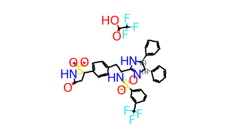 O=C(O)C(F)(F)F.O=C1CC(c2ccc(CC(NS(=O)(=O)c3cccc(C(F)(F)F)c3)C3=N[C@@H](c4ccccc4)[C@H](c4ccccc4)N3)cc2)S(=O)(=O)N1